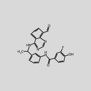 CC(Nc1ncnc2c([C]=O)cccc12)c1cccc(NC(=O)c2ccc(O)c(F)c2)c1